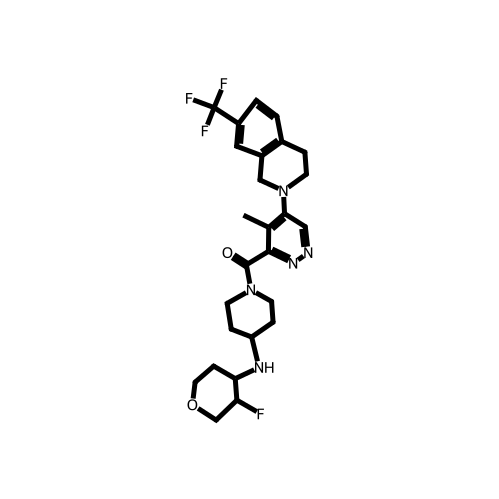 Cc1c(N2CCc3ccc(C(F)(F)F)cc3C2)cnnc1C(=O)N1CCC(NC2CCOCC2F)CC1